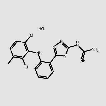 Cc1ccc(Cl)c(Nc2ccccc2-c2nnc(NC(=N)N)s2)c1Cl.Cl